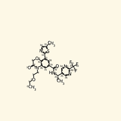 CCOCCN1C(=O)COc2c(-c3ncc(C)s3)cc(C(=O)N[C@H](C)c3cnc(C(F)(F)F)nc3)cc21